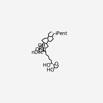 CCCCCCCCCCC(CCCCCC(O)[C@H]1OCC[C@@H]1O)C1(P(=O)(O)O)CC[C@@]2(C)C(CCC3C2CC[C@@]2(C)C3CC[C@@H]2[C@H](C)CCC)C1